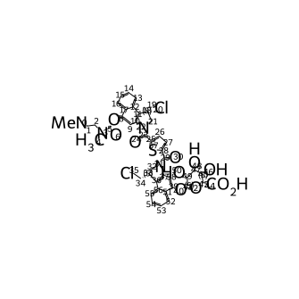 CNCCN(C)C(=O)Oc1cc2c(c3ccccc13)[C@H](CCl)CN2C(=O)c1ccc(C(=O)N2C[C@@H](CCl)c3c2cc(O[C@@H]2OC(C(=O)O)[C@@H](O)C(O)C2O)c2ccccc32)s1